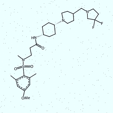 COc1cc(C)c(S(=O)(=O)N(C)CCC(=O)N[C@H]2CC[C@@H](N3CCC(CN4CCC(F)(F)C4)CC3)CC2)c(C)c1